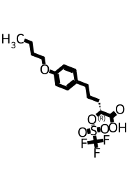 CCCCOc1ccc(CCC[C@@H](OS(=O)(=O)C(F)(F)F)C(=O)O)cc1